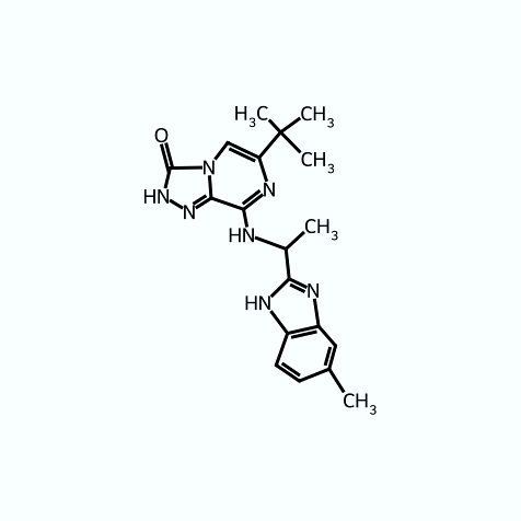 Cc1ccc2[nH]c(C(C)Nc3nc(C(C)(C)C)cn4c(=O)[nH]nc34)nc2c1